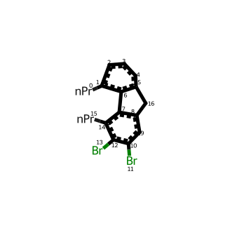 CCCc1cccc2c1-c1c([c]c(Br)c(Br)c1CCC)C2